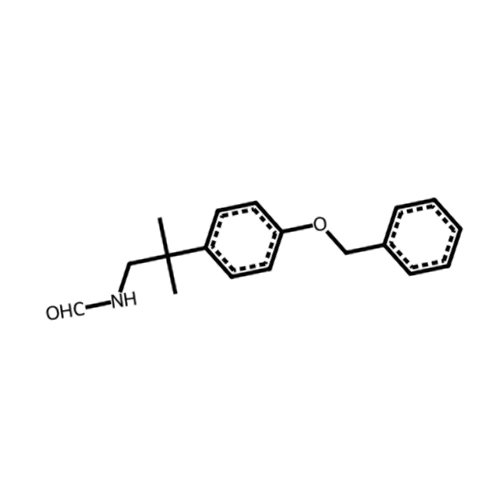 CC(C)(CNC=O)c1ccc(OCc2ccccc2)cc1